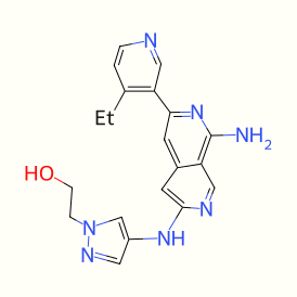 CCc1ccncc1-c1cc2cc(Nc3cnn(CCO)c3)ncc2c(N)n1